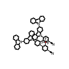 N#Cc1ccc(-n2c3ccccc3c3cc(-n4c5ccccc5c5ccccc54)ccc32)c(-c2cc(-n3c4ccccc4c4cc(-n5c6ccccc6c6ccccc65)ccc43)ccc2-c2ccc(C#N)cc2C(F)(F)F)c1